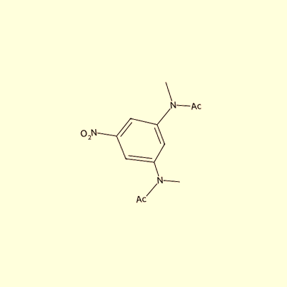 CC(=O)N(C)c1cc(N(C)C(C)=O)cc([N+](=O)[O-])c1